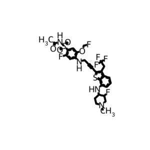 CC(=O)NS(=O)(=O)c1cc(OCF)c(NCC#Cc2sc3c(NC4CCN(C)CC4F)cccc3c2CC(F)(F)F)cc1F